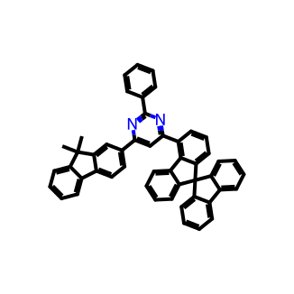 CC1(C)c2ccccc2-c2ccc(-c3cc(-c4cccc5c4-c4ccccc4C54c5ccccc5-c5ccccc54)nc(-c4ccccc4)n3)cc21